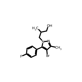 Cc1nn(CC(C)CO)c(-c2ccc(F)cc2)c1Br